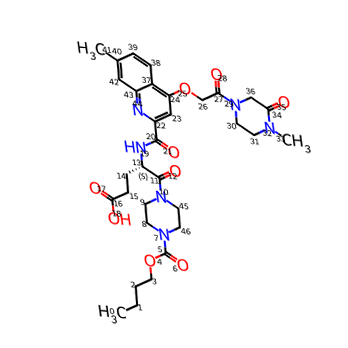 CCCCOC(=O)N1CCN(C(=O)[C@H](CCC(=O)O)NC(=O)c2cc(OCC(=O)N3CCN(C)C(=O)C3)c3ccc(C)cc3n2)CC1